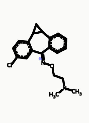 CN(C)CCO/N=C1\c2ccccc2C2CC2c2ccc(Cl)cc21